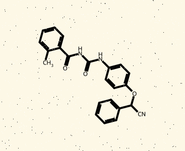 Cc1ccccc1C(=O)NC(=O)Nc1ccc(OC(C#N)c2ccccc2)cc1